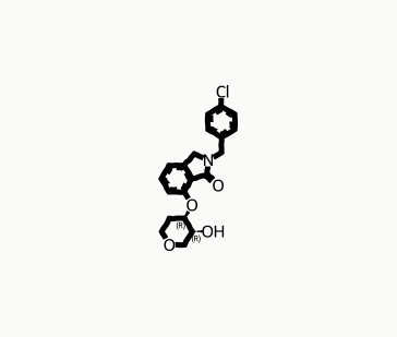 O=C1c2c(cccc2O[C@@H]2CCOC[C@H]2O)CN1Cc1ccc(Cl)cc1